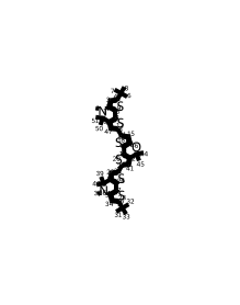 CN1c2cc(C(C)(C)C)sc2-c2sc(-c3cc4c(s3)-c3sc(-c5cc6c(s5)-c5sc(C(C)(C)C)cc5N(C)C6(C)C)cc3C(C)(C)O4)cc2C1(C)C